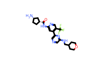 N[C@H]1CC[C@@H](C(=O)Nc2cc(-c3cncc(NCC4CCOCC4)n3)c(C(F)(F)F)cn2)C1